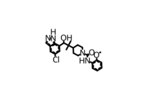 COc1ccccc1NC(=O)N1CCC(C(C)(C)C(O)c2cc(Cl)cc3cn[nH]c23)CC1